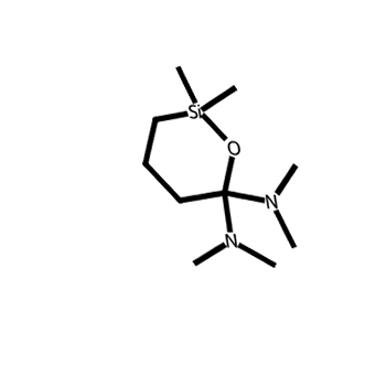 CN(C)C1(N(C)C)CCC[Si](C)(C)O1